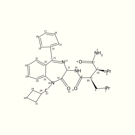 CCC[C@H](C(N)=O)[C@@H](CC(C)C)C(=O)NC1N=C(c2ccccc2)c2ccccc2N(CC2CCC2)C1=O